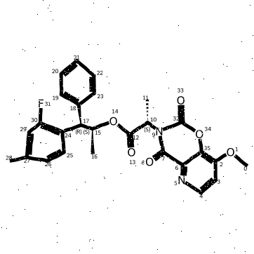 COc1ccnc2c(=O)n([C@@H](C)C(=O)O[C@@H](C)[C@H](c3ccccc3)c3ccc(C)cc3F)c(=O)oc12